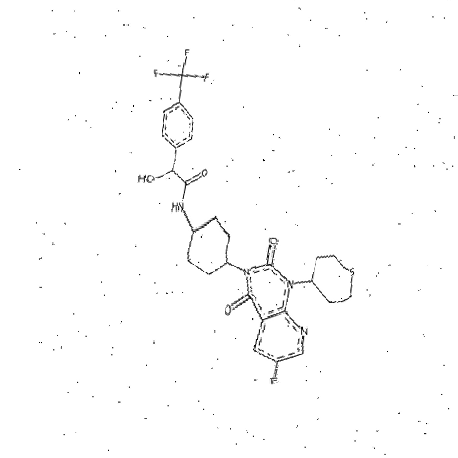 O=C(NC1CCC(n2c(=O)c3cc(F)cnc3n(C3CCSCC3)c2=O)CC1)C(O)c1ccc(C(F)(F)F)cc1